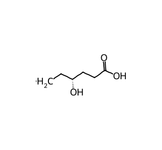 [CH2]C[C@@H](O)CCC(=O)O